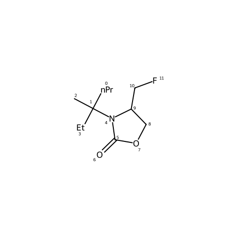 CCCC(C)(CC)N1C(=O)OCC1CF